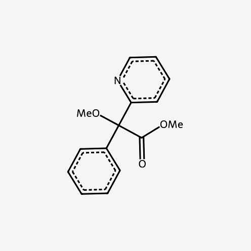 COC(=O)C(OC)(c1ccccc1)c1ccccn1